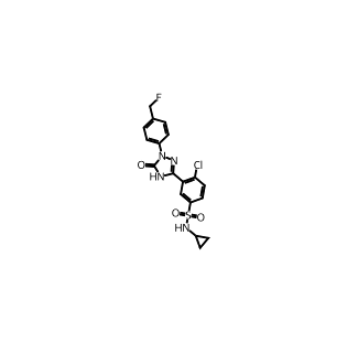 O=c1[nH]c(-c2cc(S(=O)(=O)NC3CC3)ccc2Cl)nn1-c1ccc(CF)cc1